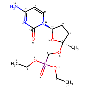 CCOP(=O)(CO[C@]1(C)CC[C@H](n2ccc(N)nc2=O)O1)OCC